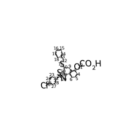 O=C(O)COc1cccc2c1CC(SCc1ccccc1)c1sc(-c3ccc(Cl)cc3)nc1-2